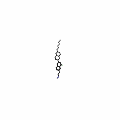 C/C=C/CCc1ccc2cc(C3CCC4CC(CCCCCCC)CCC4C3)cc(F)c2c1